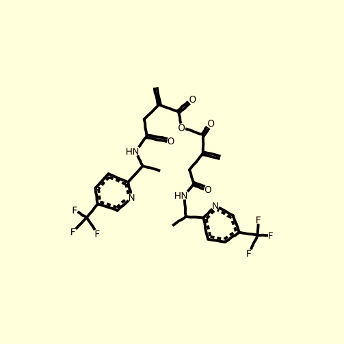 C=C(CC(=O)NC(C)c1ccc(C(F)(F)F)cn1)C(=O)OC(=O)C(=C)CC(=O)NC(C)c1ccc(C(F)(F)F)cn1